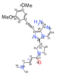 COc1cc(C#Cc2nc([C@H]3CCN(C(=O)/C=C/CN(C)C)C3)n3ccnc(N)c23)cc(OC)c1